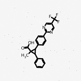 CC1(C(=O)O)C(c2ccccc2)C1c1ccc(-c2ncc(C(F)(F)F)cn2)cc1